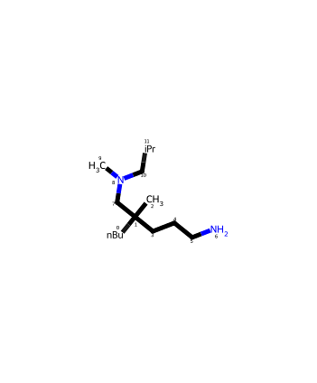 CCCCC(C)(CCCN)CN(C)CC(C)C